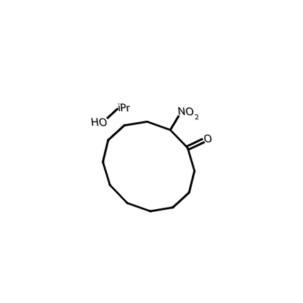 CC(C)O.O=C1CCCCCCCCCCC1[N+](=O)[O-]